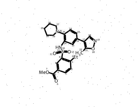 CCc1ccc(C(=O)OC)cc1S(=O)(=O)Nc1cc(-c2cnoc2C)ccc1N1CCCCC1